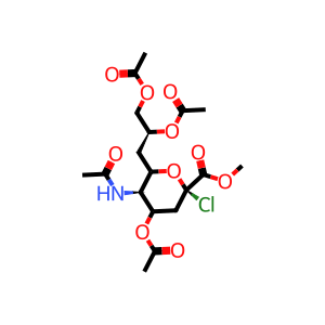 COC(=O)[C@]1(Cl)CC(OC(C)=O)[C@@H](NC(C)=O)C(C[C@@H](COC(C)=O)OC(C)=O)O1